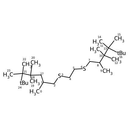 CC(CSCCSCC(C)C(C)(C)C(C)(C)C(C)(C)C)CC(C)(C)C(C)(C)C(C)(C)C